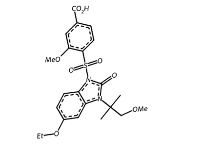 CCOc1ccc2c(c1)n(C(C)(C)COC)c(=O)n2S(=O)(=O)c1ccc(C(=O)O)cc1OC